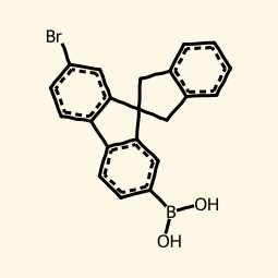 OB(O)c1ccc2c(c1)C1(Cc3ccccc3C1)c1cc(Br)ccc1-2